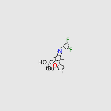 Cc1ccc(-c2c(C)c3c(c(C)c2C(OC(C)(C)C)C(=O)O)CN(Cc2cc(F)cc(F)c2)C3)cc1